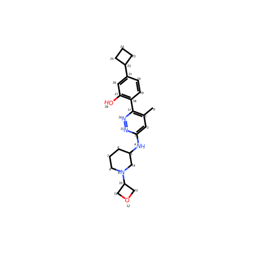 Cc1cc(NC2CCCN(C3COC3)C2)nnc1-c1ccc(C2CCC2)cc1O